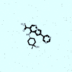 C[C@]1(O)CC[C@@H](Nc2c(C(N)=O)cnn3cc(-c4cncnc4)cc23)CC1